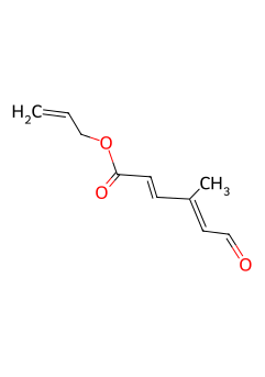 C=CCOC(=O)/C=C/C(C)=C/C=O